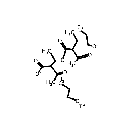 CCC(C(C)=O)C(=O)[O-].CCC(C(C)=O)C(=O)[O-].CCC[O-].CCC[O-].[Ti+4]